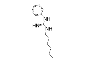 CCCCCCNC(=N)Nc1ccccc1